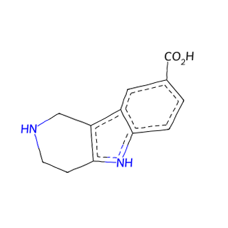 O=C(O)c1ccc2[nH]c3c(c2c1)CNCC3